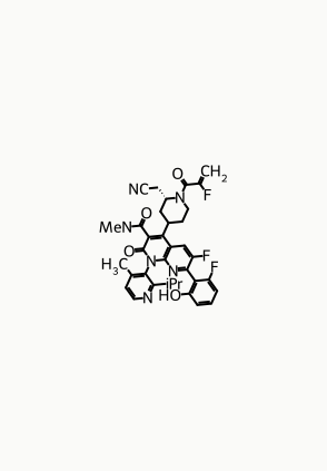 C=C(F)C(=O)N1CCC(c2c(C(=O)NC)c(=O)n(-c3c(C)ccnc3C(C)C)c3nc(-c4c(O)cccc4F)c(F)cc23)C[C@@H]1CC#N